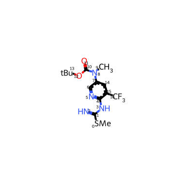 CSC(=N)Nc1ncc(N(C)C(=O)OC(C)(C)C)cc1C(F)(F)F